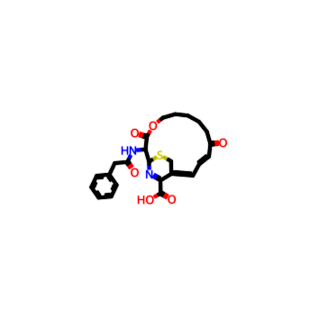 O=C1/C=C/C=C2\CSC(N=C2C(=O)O)C(NC(=O)Cc2ccccc2)C(=O)OCCCCC1